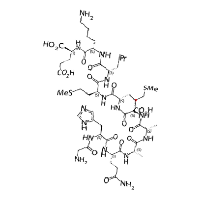 CSCC[C@H](NC(=O)[C@H](C)NC(=O)[C@H](C)NC(=O)[C@H](CCC(N)=O)NC(=O)[C@H](Cc1cnc[nH]1)NC(=O)CN)C(=O)N[C@@H](CCC(=O)O)C(=O)N[C@@H](CCSC)C(=O)N[C@@H](CC(C)C)C(=O)N[C@@H](CCCCN)C(=O)N[C@@H](CCC(=O)O)C(=O)O